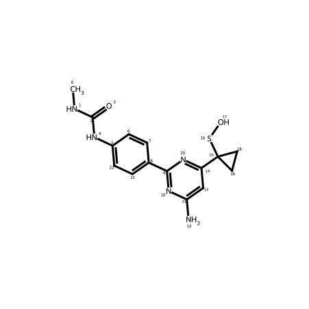 CNC(=O)Nc1ccc(-c2nc(N)cc(C3(SO)CC3)n2)cc1